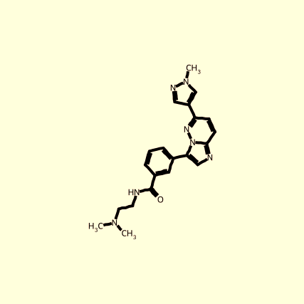 CN(C)CCNC(=O)c1cccc(-c2cnc3ccc(-c4cnn(C)c4)nn23)c1